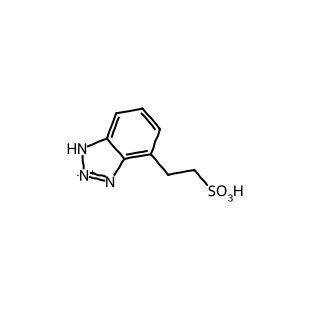 O=S(=O)(O)CCc1cccc2c1N=[N+]N2